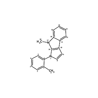 Cc1ccccc1-n1ccc2c3ccccc3n(C)c21